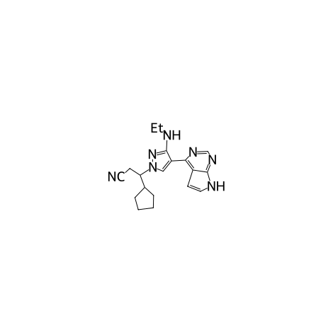 CCNc1nn(C(CC#N)C2CCCC2)cc1-c1ncnc2[nH]ccc12